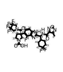 Cc1nonc1C(=O)NC(c1nc2c(F)c([C@]3(C(=O)N4CC(F)(F)C(F)(F)C4)CCN(C(=O)O)C3)ccc2[nH]1)C1CCC(F)(F)CC1